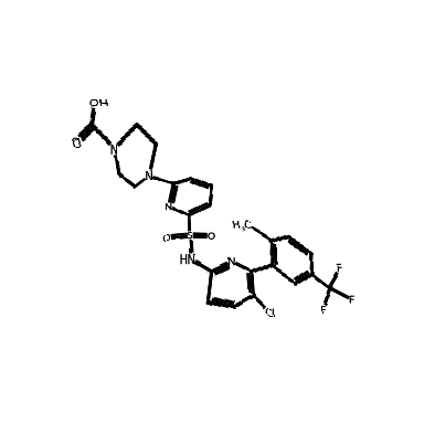 Cc1ccc(C(F)(F)F)cc1-c1nc(NS(=O)(=O)c2cccc(N3CCN(C(=O)O)CC3)n2)ccc1Cl